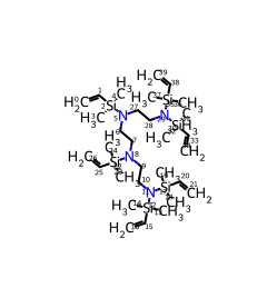 C=C[Si](C)(C)N(CCN(CCN([Si](C)(C)C=C)[Si](C)(C)C=C)[Si](C)(C)C=C)CCN([Si](C)(C)C=C)[Si](C)(C)C=C